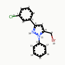 Clc1cccc(-c2cc(CBr)n(-c3ccccc3)n2)c1